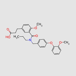 CCCN(Cc1ccc(Oc2ccccc2OC)cc1)C(=O)c1cc(CCC(=O)O)ccc1OC